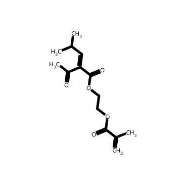 C=C(C)C(=O)OCCOC(=O)C(=CC(C)C)C(C)=O